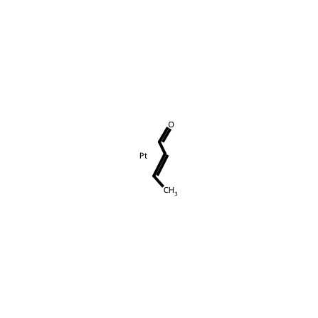 CC=CC=O.[Pt]